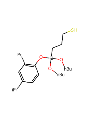 CCCCO[Si](CCCS)(OCCCC)Oc1ccc(C(C)C)cc1C(C)C